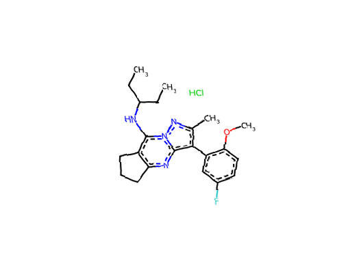 CCC(CC)Nc1c2c(nc3c(-c4cc(F)ccc4OC)c(C)nn13)CCC2.Cl